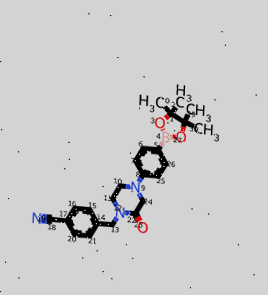 CC1(C)OB(c2ccc(N3CCN(Cc4ccc(C#N)cc4)C(=O)C3)cc2)OC1(C)C